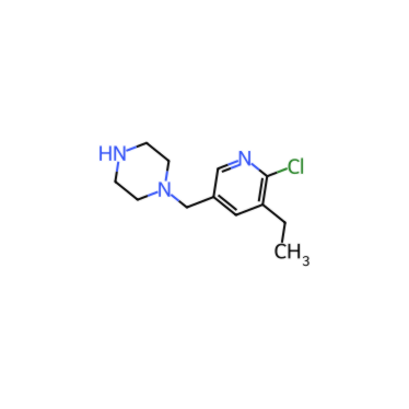 CCc1cc(CN2CCNCC2)cnc1Cl